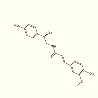 COc1cc(C=CC(=O)NC[C@H](O)c2ccc(O)cc2)ccc1O